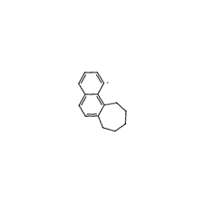 [c]1cccc2ccc3c(c12)CCCCC3